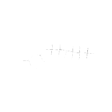 CN(C)CC(O)CC(F)(F)C(F)(F)C(F)(F)C(F)(F)C(F)(F)C(F)(F)F